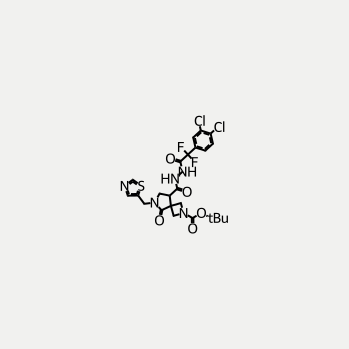 CC(C)(C)OC(=O)N1CC2(C1)C(=O)N(Cc1cncs1)CC2C(=O)NNC(=O)C(F)(F)c1ccc(Cl)c(Cl)c1